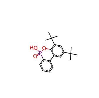 CC(C)(C)c1cc2c(c(C(C)(C)C)c1)OP(=O)(O)c1ccccc1-2